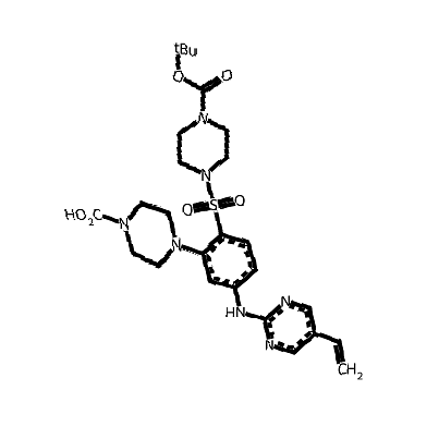 C=Cc1cnc(Nc2ccc(S(=O)(=O)N3CCN(C(=O)OC(C)(C)C)CC3)c(N3CCN(C(=O)O)CC3)c2)nc1